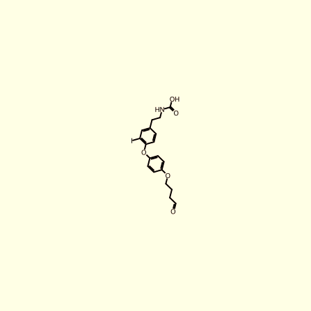 O=CCCCOc1ccc(Oc2ccc(CCNC(=O)O)cc2I)cc1